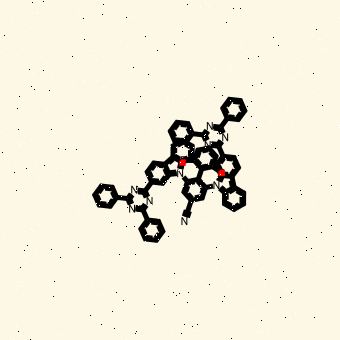 N#Cc1cc(-n2c3ccccc3c3ccc(-c4nc(-c5ccccc5)nc(-c5ccccc5)n4)cc32)c(-c2c(F)cccc2F)c(-n2c3ccccc3c3ccc(-c4nc(-c5ccccc5)nc(-c5ccccc5)n4)cc32)c1